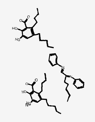 CCCCCC(C=Nc1ccccc1)=Nc1ccccc1.CCCCCc1cc(O)c(O)c(C(=O)[O-])c1CCCC.CCCCCc1cc(O)c(O)c(C(=O)[O-])c1CCCC.[Ni+2]